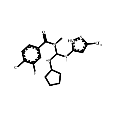 CN(C(=O)c1ccc(Cl)c(F)c1)C(Nc1cc(C(F)(F)F)n[nH]1)NC1CCCC1